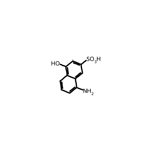 Nc1cccc2c(O)[c]c(S(=O)(=O)O)cc12